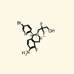 C[C@@H]1Cc2c(ccc(N)c2F)[C@@H](c2ccc(Br)cn2)N1CC(F)(F)CO